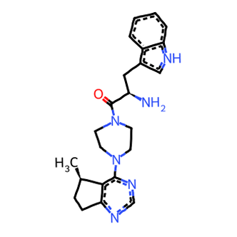 C[C@@H]1CCc2ncnc(N3CCN(C(=O)[C@H](N)Cc4c[nH]c5ccccc45)CC3)c21